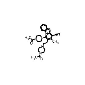 CC(=O)N1CCN(CCc2c(C)c(C#N)c3nc4ccccc4n3c2N2CCN(C(C)=O)CC2)CC1